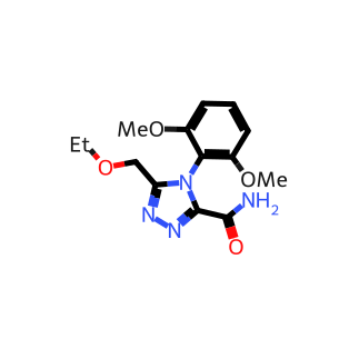 CCOCc1nnc(C(N)=O)n1-c1c(OC)cccc1OC